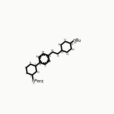 CCCCCC1CCCC(c2ccc(CCC3CCC(CCCC)CC3)cc2)C1